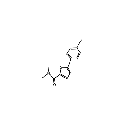 CN(C)C(=O)c1cnc(-c2ccc(Br)cc2)s1